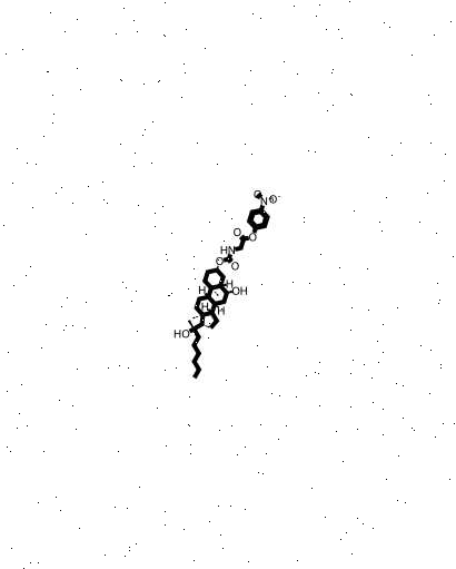 CCCCCC[C@](C)(O)[C@H]1CC[C@H]2[C@@H]3C[C@H](O)[C@H]4C[C@@H](OC(=O)NCC(=O)Oc5ccc([N+](=O)[O-])cc5)CC[C@]4(C)[C@H]3CC[C@@]21C